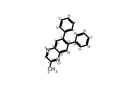 Cc1cnc2cc(-c3ccccc3)c(-c3ccccc3)cc2n1